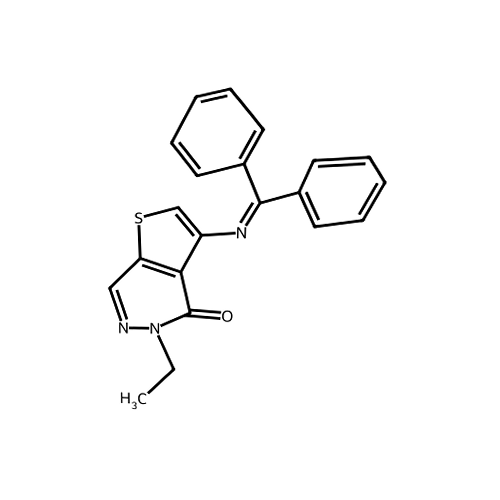 CCn1ncc2scc(N=C(c3ccccc3)c3ccccc3)c2c1=O